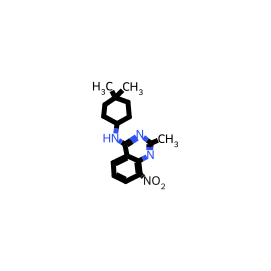 Cc1nc(NC2CCC(C)(C)CC2)c2cccc([N+](=O)[O-])c2n1